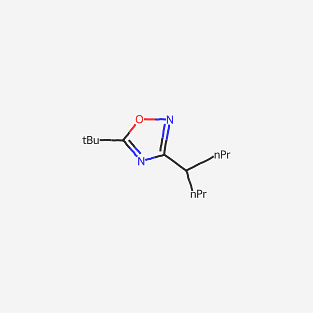 CCCC(CCC)c1noc(C(C)(C)C)n1